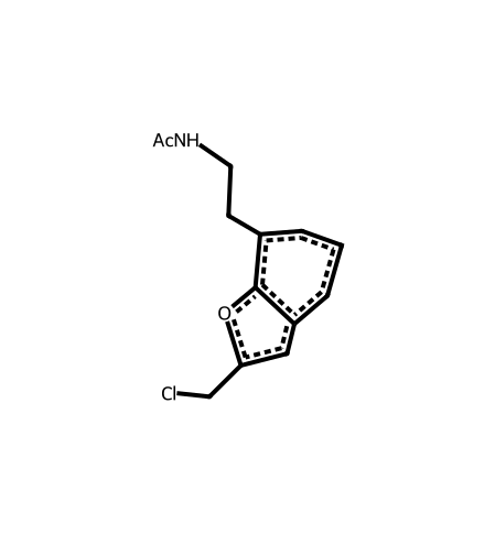 CC(=O)NCCc1cccc2cc(CCl)oc12